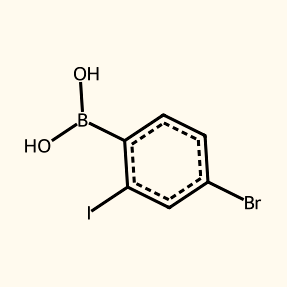 OB(O)c1ccc(Br)cc1I